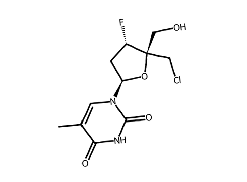 Cc1cn([C@H]2C[C@H](F)[C@](CO)(CCl)O2)c(=O)[nH]c1=O